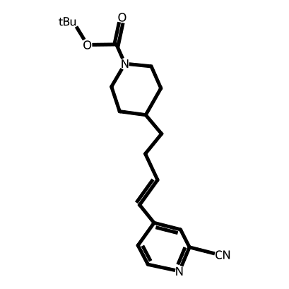 CC(C)(C)OC(=O)N1CCC(CCC=Cc2ccnc(C#N)c2)CC1